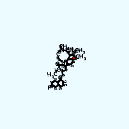 CCOC(=O)c1c(CCCOc2cccc3cc(F)ccc23)c2ccc(Cl)c3c2n1CCCCN(C)Cc1nn(C)c(CC)c1-3